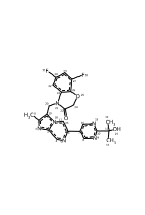 Cc1nc2cnc(-c3cnc(C(C)(C)O)nc3)cn2c1CN1C(=O)COc2c(F)cc(F)cc21